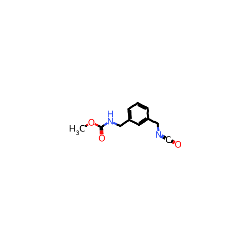 COC(=O)NCc1cccc(CN=C=O)c1